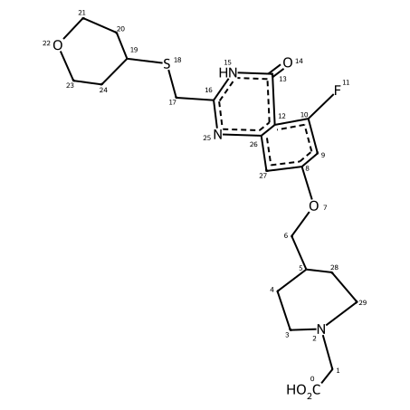 O=C(O)CN1CCC(COc2cc(F)c3c(=O)[nH]c(CSC4CCOCC4)nc3c2)CC1